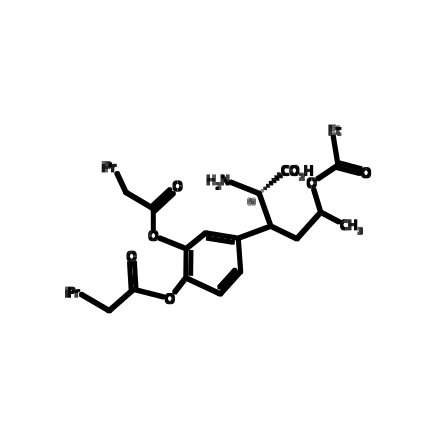 CCC(=O)OC(C)CC(c1ccc(OC(=O)CC(C)C)c(OC(=O)CC(C)C)c1)[C@H](N)C(=O)O